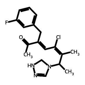 CC(=O)/C(=C/C(Cl)=C(/C)C(C)N1C=NNC1)Cc1cccc(F)c1